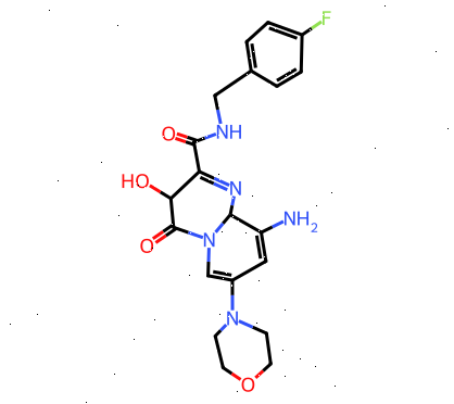 NC1=CC(N2CCOCC2)=CN2C(=O)C(O)C(C(=O)NCc3ccc(F)cc3)=NC12